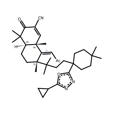 CC(=O)/C=C1/[C@@]2(C)C=C(C#N)C(=O)C(C)(C)[C@@H]2CC[C@@]1(C)C(C)(C)CCC1(c2nnc(C3CC3)o2)CCC(C)(C)CC1